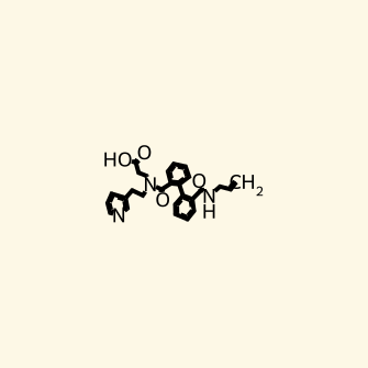 C=CCNC(=O)c1ccccc1-c1ccccc1C(=O)N(CCC(=O)O)CCc1cccnc1